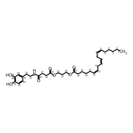 CCCCC/C=C\C/C=C\C/C=C\CCCCC(=O)OCCCOC(=O)CCC(=O)NCCc1ccc(O)c(O)c1